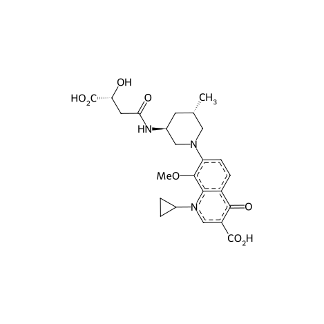 COc1c(N2C[C@@H](C)C[C@H](NC(=O)C[C@@H](O)C(=O)O)C2)ccc2c(=O)c(C(=O)O)cn(C3CC3)c12